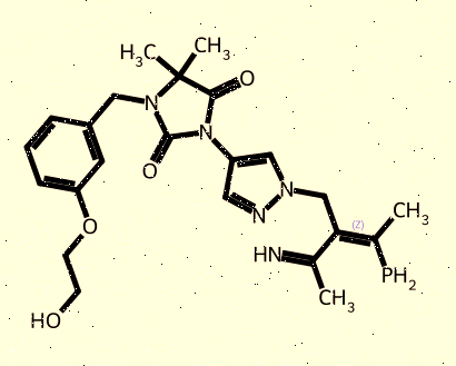 CC(=N)/C(Cn1cc(N2C(=O)N(Cc3cccc(OCCO)c3)C(C)(C)C2=O)cn1)=C(/C)P